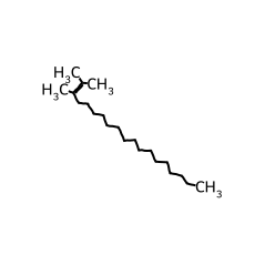 CCCCCCCCCCCCCCCCC(C)=C(C)C